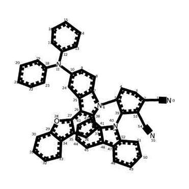 N#Cc1ccc(-n2c3ccc(N(c4ccccc4)c4ccccc4)cc3c3c4oc5ccccc5c4ccc32)c(-n2c3ccccc3c3ccccc32)c1C#N